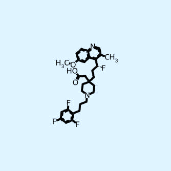 COc1ccc2ncc(C)c([C@H](F)CCC3(CC(=O)O)CCN(CCCc4c(F)cc(F)cc4F)CC3)c2c1